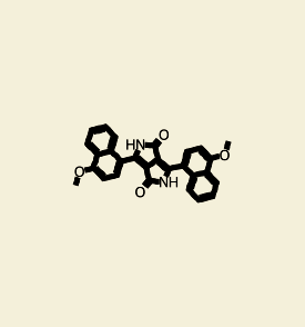 COc1ccc(C2=C3C(=O)NC(c4ccc(OC)c5ccccc45)=C3C(=O)N2)c2ccccc12